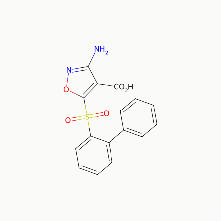 Nc1noc(S(=O)(=O)c2ccccc2-c2ccccc2)c1C(=O)O